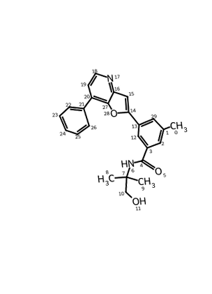 Cc1cc(C(=O)NC(C)(C)CO)cc(-c2cc3nccc(-c4ccccc4)c3o2)c1